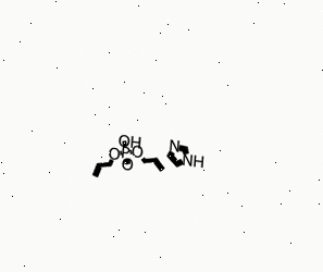 C=CCOP(=O)(O)OCC=C.c1c[nH]cn1